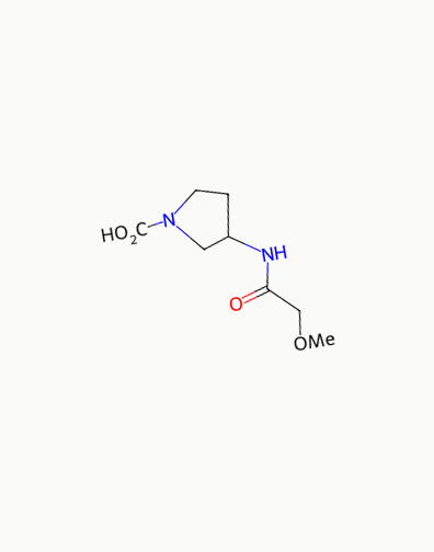 COCC(=O)NC1CCN(C(=O)O)C1